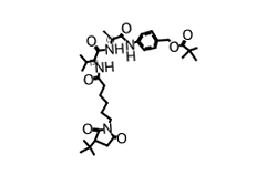 CC(C)[C@H](NC(=O)CCCCCN1C(=O)CC(C(C)(C)C)C1=O)C(=O)N[C@@H](C)C(=O)Nc1ccc(COC(=O)C(C)(C)C)cc1